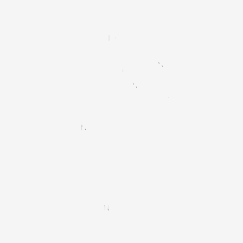 Cc1cn(Cc2ccccc2)c(=O)n(CCCNC2CCC(c3ccccc3C#N)CC2)c1=O